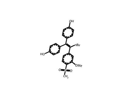 CCCCC(=C(c1ccc(O)cc1)c1ccc(O)cc1)c1ccc(S(C)(=O)=O)c(OC)c1